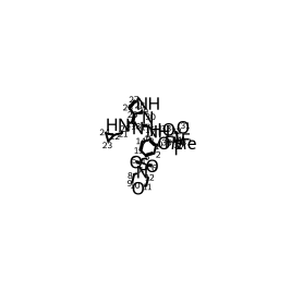 COc1cc(S(=O)(=O)N2CCOCC2)ccc1Nc1nc(NCC2CC2)c2cc[nH]c2n1.O=C(O)C(F)(F)F